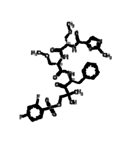 COC[C@H](NC(=O)c1cnc(C)s1)C(=O)N[C@H](COC)C(=O)N[C@@H](Cc1ccccc1)C(=O)C(C)(O)COS(=O)(=O)c1ccc(F)cc1F